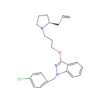 COC[C@@H]1CCCN1CCCOc1nn(Cc2ccc(Cl)cc2)c2ccccc12